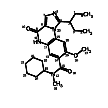 CCC(CC)c1ncc2c(=O)[nH]c3cc(C(=O)N(C)C4CCCCC4)c(OC)cc3n12